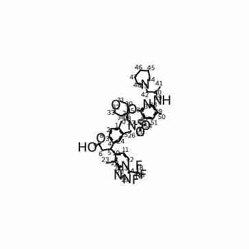 Cc1ccc(C(CC(=O)O)c2ccn3c(C(F)(F)F)nnc3c2C)cc1CN1CC2(CCOCC2)Oc2nc(N[C@H](C)CN3CCCCC3)c(C)cc2S1(=O)=O